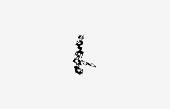 COCCOC[C@H]1CN(c2ccccn2)CCN1c1ncc(/C=C/c2ccc(-n3ccnc3)nc2)cn1